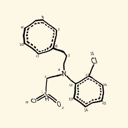 O=[SH](=O)CN(Cc1ccccc1)c1c[c]ccc1Cl